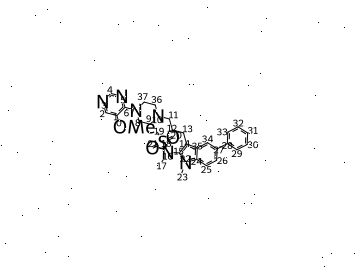 COc1cncnc1N1CCN(CCCc2c(N(C)S(C)(=O)=O)n(C)c3ccc(-c4ccccc4)cc23)CC1